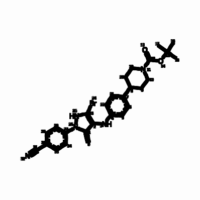 C=C1C(Nc2ccc(C3CCN(C(=O)OC(C)(C)C)CC3)cc2)=C(Br)NN1c1ccc(C#N)cc1